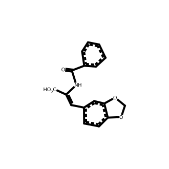 O=C(O)C(=Cc1ccc2c(c1)OCO2)NC(=O)c1ccccc1